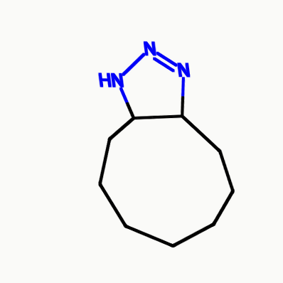 C1CCCC2N=NNC2CCC1